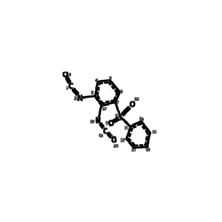 O=C=Nc1cccc(S(=O)(=O)c2ccccc2)c1N=C=O